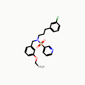 O=C(O)COc1cccc(CN(CCCc2cccc(Cl)c2)S(=O)(=O)c2cccnc2)c1